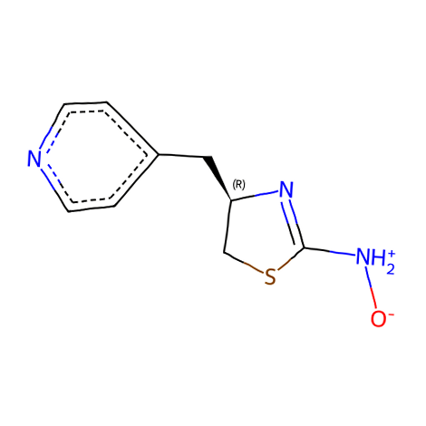 [O-][NH2+]C1=N[C@H](Cc2ccncc2)CS1